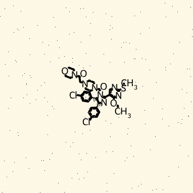 CCOc1nc(SC)ncc1C1=N[C@@H](c2ccc(Cl)cc2)[C@@H](c2ccc(Cl)cc2)N1C(=O)N1CCN(CC(=O)N2CCOCC2)CC1